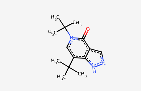 CC(C)(C)c1cn(C(C)(C)C)c(=O)c2cn[nH]c12